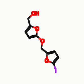 OCc1ccc(OCc2ccc(I)o2)o1